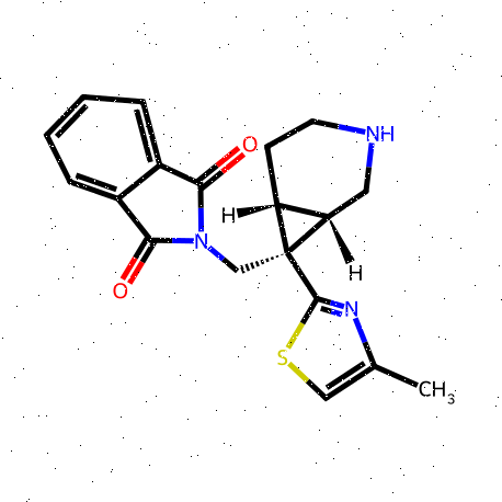 Cc1csc([C@@]2(CN3C(=O)c4ccccc4C3=O)[C@@H]3CCNC[C@@H]32)n1